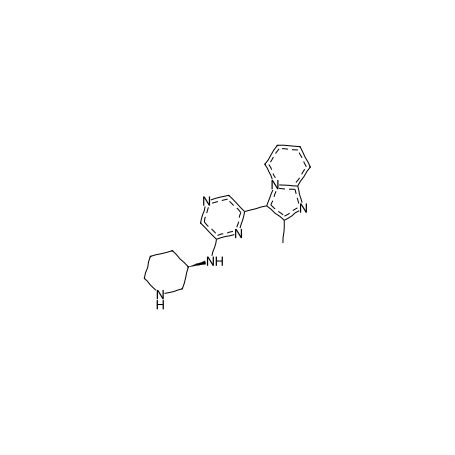 Cc1nc2ccccn2c1-c1cncc(N[C@@H]2CCCNC2)n1